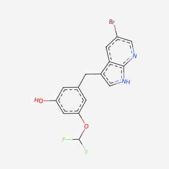 Oc1cc(Cc2c[nH]c3ncc(Br)cc23)cc(OC(F)F)c1